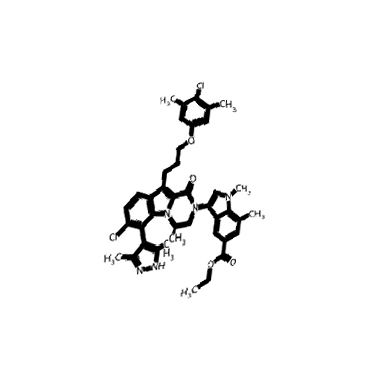 CCOC(=O)c1cc(C)c2c(c1)c(N1C[C@@H](C)n3c(c(CCCOc4cc(C)c(Cl)c(C)c4)c4ccc(Cl)c(-c5c(C)n[nH]c5C)c43)C1=O)cn2C